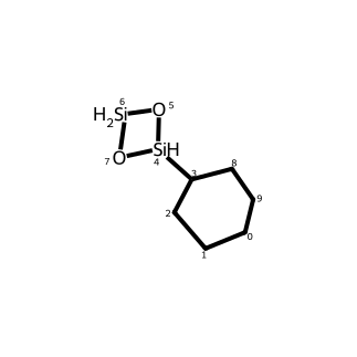 C1CCC([SiH]2O[SiH2]O2)CC1